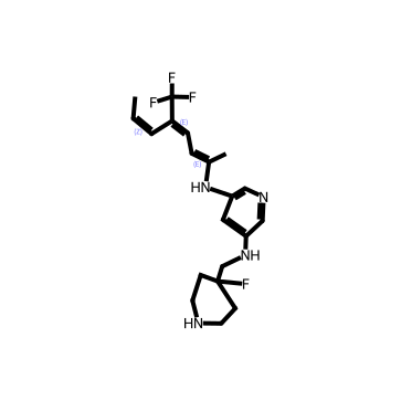 C\C=C/C(=C\C=C(/C)Nc1cncc(NCC2(F)CCNCC2)c1)C(F)(F)F